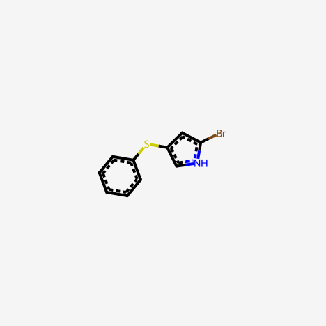 Brc1cc(Sc2ccccc2)c[nH]1